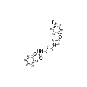 O=C(NCCCN1CC(Oc2ccc(F)cc2)C1)Oc1ccccc1